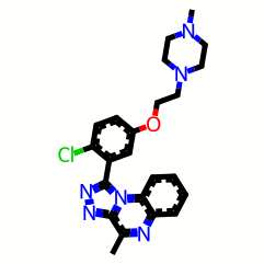 Cc1nc2ccccc2n2c(-c3cc(OCCN4CCN(C)CC4)ccc3Cl)nnc12